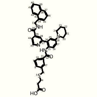 O=C(O)CCSCc1cccc(C(=O)Nc2ccc(N3CCCCC3)cc2-c2cc(C(=O)NCc3cccc4ccccc34)ccn2)c1